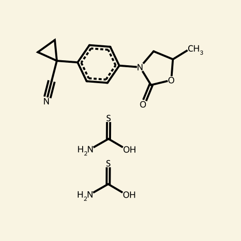 CC1CN(c2ccc(C3(C#N)CC3)cc2)C(=O)O1.NC(O)=S.NC(O)=S